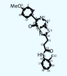 COc1ccc(-c2nnc3sc(CCC(=O)Nc4ccccc4F)nn3c2=O)cc1